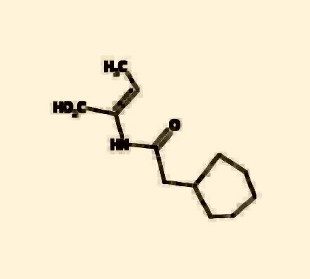 CC=C(NC(=O)CC1CCCCC1)C(=O)O